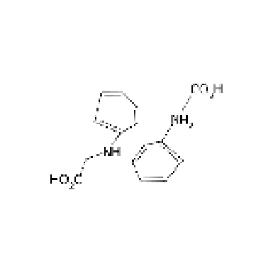 CC(=O)O.Nc1ccccc1.O=C(O)CNc1ccccc1